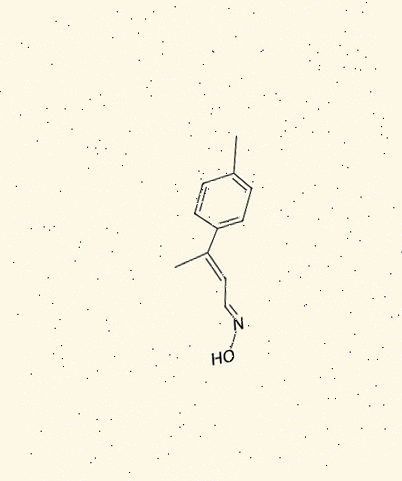 CC(=CC=NO)c1ccc(C)cc1